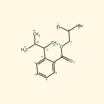 CCCCC(CC)COC(=O)c1ccccc1C(C)N(C)C